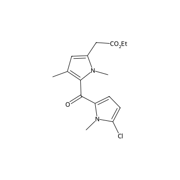 CCOC(=O)Cc1cc(C)c(C(=O)c2ccc(Cl)n2C)n1C